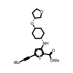 COC(=O)c1sc(C#CC(C)(C)C)cc1N[C@H]1CC[C@H](O[C@@H]2CCOC2)CC1